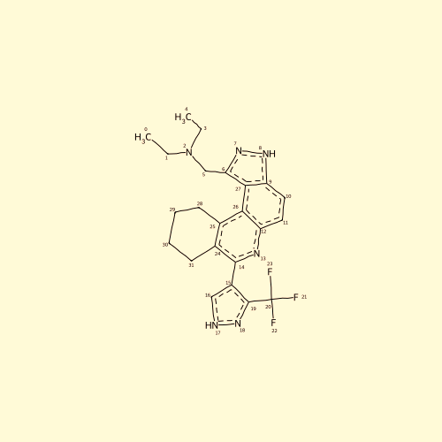 CCN(CC)Cc1n[nH]c2ccc3nc(-c4c[nH]nc4C(F)(F)F)c4c(c3c12)CCCC4